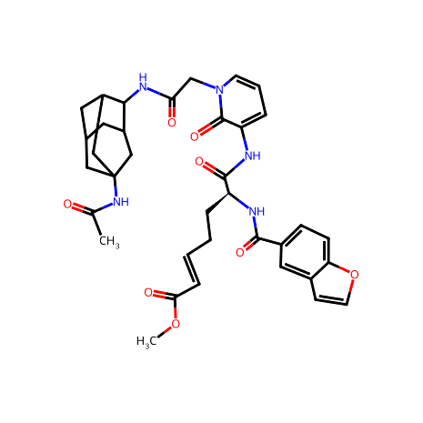 COC(=O)/C=C/CC[C@H](NC(=O)c1ccc2occc2c1)C(=O)Nc1cccn(CC(=O)NC2C3CC4CC2CC(NC(C)=O)(C4)C3)c1=O